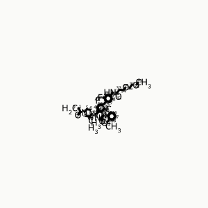 C=CC(=O)N1CCN(c2nc(=O)n(-c3c(C)cccc3C(C)C)c3nc(-c4ccc(NC(=O)CCOCCOC)cc4F)c(F)cc23)[C@@H](C)C1